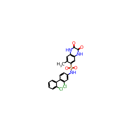 Cc1cc2[nH]c(=O)c(=O)[nH]c2cc1S(=O)(=O)Nc1ccc(-c2ccccc2Cl)c(Cl)c1